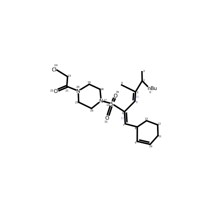 CCCCC(C)/C(C)=C/C(=C\C1C=CCCC1)S(=O)(=O)N1CCN(C(=O)CCl)CC1